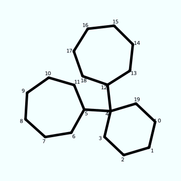 [CH]1CCCC(C2CCCCCC2)(C2CCCCCC2)C1